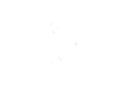 CC(=O)Nc1ccc(C2CN(C)Cc3c(Cl)cc(N4CCCC4)cc32)cc1